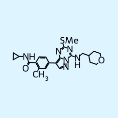 CSc1nc(NCC2CCOCC2)n2ncc(-c3ccc(C(=O)NC4CC4)c(C)c3)c2n1